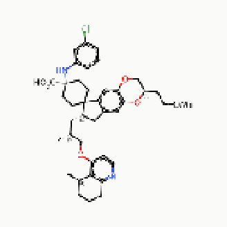 COCC[C@@H]1COc2cc3c(cc2O1)C[C@H](C[C@@H](C)COc1ccnc2c1[C@H](C)CCC2)C31CCC(Nc2cccc(Cl)c2)(C(=O)O)CC1